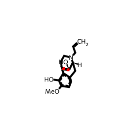 C=CCN1CCC23CCCC[C@@]2(O)[C@H]1Cc1ccc(OC)c(O)c13